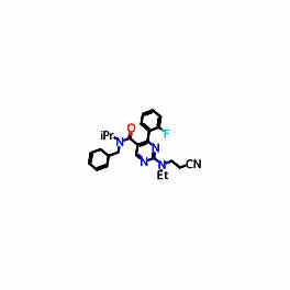 CCN(CCC#N)c1ncc(C(=O)N(CC2C=CC=CC2)C(C)C)c(-c2ccccc2F)n1